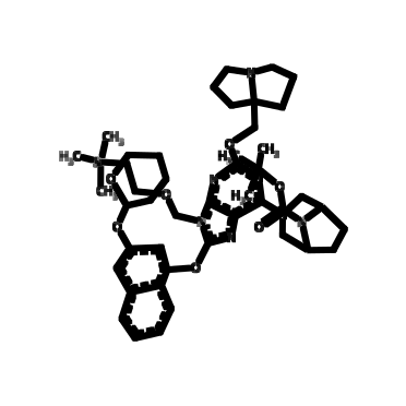 CC(C)(C)OC(=O)N1C2CCC1CN(c1nc(OCC34CCCN3CCC4)nc3c1nc(Oc1cc(OC4CCCCO4)cc4ccccc14)n3COCC[Si](C)(C)C)C2